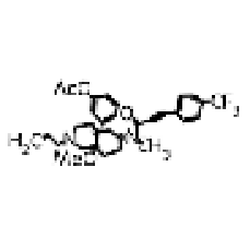 C=CCN1CC[C@@]2(c3cccc(OC(C)=O)c3)C[C@H](N(C)C(=O)C#Cc3ccc(C(F)(F)F)cc3)CC[C@]2(OC)C1